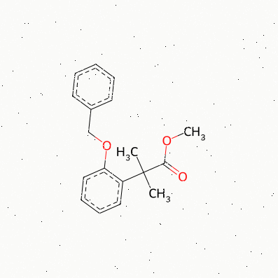 COC(=O)C(C)(C)c1ccccc1OCc1ccccc1